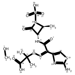 CO.C[C@H]1[C@H](NC(=O)C(=NOC(C)(C)C(=O)O)c2csc(N)n2)C(=O)N1S(=O)(=O)O